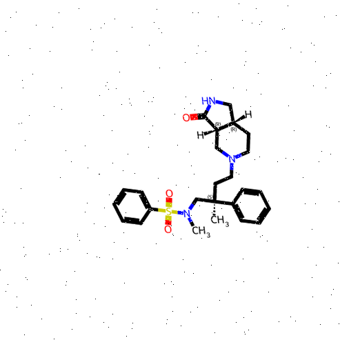 CN(C[C@@](C)(CCN1CC[C@H]2CNC(=O)[C@H]2C1)c1ccccc1)S(=O)(=O)c1ccccc1